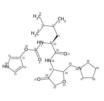 CC(C)C(C)C[C@H](NC(=O)Oc1cc[nH]c1)C(=O)NC1C(=O)COC1CN1CCCC1